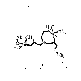 CCCCOCC1CN(CCC[Si](C)(C)OCC)CCC[Si](C)(C)O1